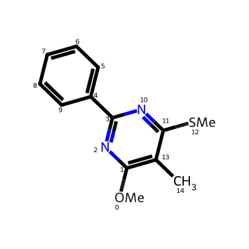 COc1nc(-c2ccccc2)nc(SC)c1C